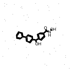 O=C(NO)c1ccc(C(O)c2ccc(-c3ccccc3)cc2)cc1